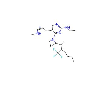 CCCCC(C(C)C1CCN1C1=NC(NCC)=NCC1C/C=C\NC)C(F)(F)F